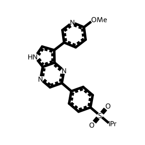 COc1ccc(-c2c[nH]c3ncc(-c4ccc(S(=O)(=O)C(C)C)cc4)nc23)cn1